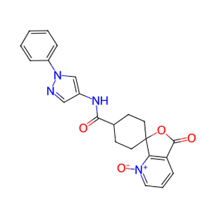 O=C1OC2(CCC(C(=O)Nc3cnn(-c4ccccc4)c3)CC2)c2c1ccc[n+]2[O-]